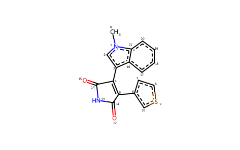 Cn1cc(C2=C(c3ccsc3)C(=O)NC2=O)c2ccccc21